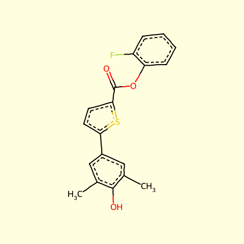 Cc1cc(-c2ccc(C(=O)Oc3ccccc3F)s2)cc(C)c1O